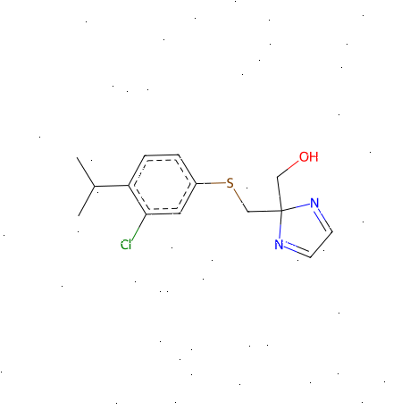 CC(C)c1ccc(SCC2(CO)N=CC=N2)cc1Cl